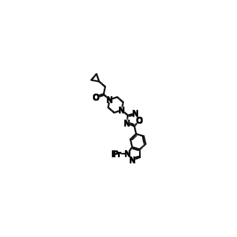 CC(C)n1ncc2ccc(-c3nc(N4CCN(C(=O)CC5CC5)CC4)no3)cc21